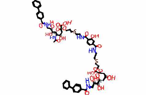 CC(=O)N[C@H]1[C@H]([C@H](O)[C@H](O)CNC(=O)c2ccc(-c3ccccc3)cc2)O[C@@](OCCCSCCNC(=O)c2ccc(C(=O)NCCSCCCO[C@]3(C(=O)O)C[C@H](O)C[C@H]([C@H](O)[C@H](O)CNC(=O)c4ccc(-c5ccccc5)cc4)O3)cc2O)(C(=O)O)C[C@@H]1O